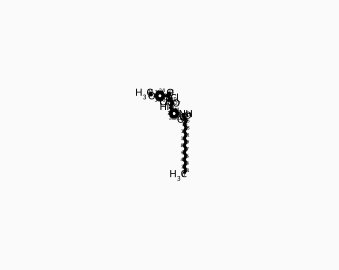 CCCCCCCCCCCCCCCCS(=O)(=O)Nc1cccc(NC(=O)C(Cl)(Cl)C(=O)c2ccc(OC)cc2)c1